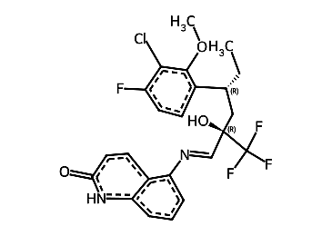 CC[C@H](C[C@@](O)(C=Nc1cccc2[nH]c(=O)ccc12)C(F)(F)F)c1ccc(F)c(Cl)c1OC